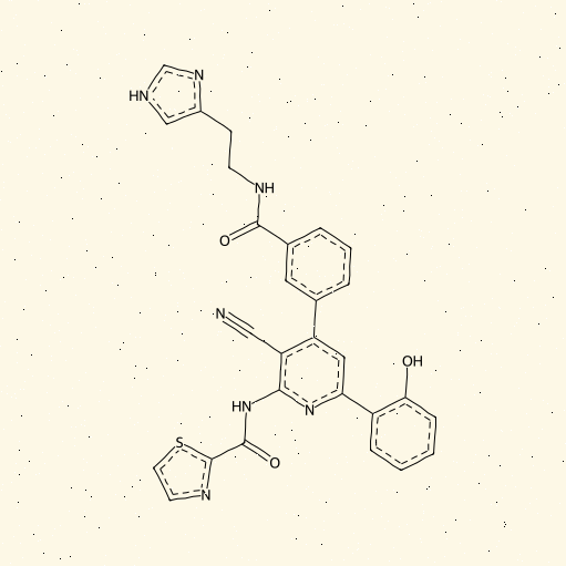 N#Cc1c(-c2cccc(C(=O)NCCc3c[nH]cn3)c2)cc(-c2ccccc2O)nc1NC(=O)c1nccs1